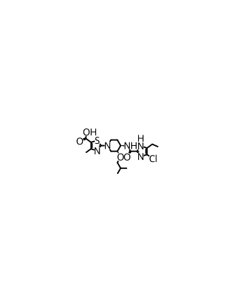 CCc1[nH]c(C(=O)N[C@@H]2CCN(c3nc(C)c(C(=O)O)s3)C[C@@H]2OCC(C)C)nc1Cl